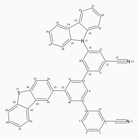 N#Cc1cccc(-c2cc(-c3cc(C#N)cc(-n4c5ccccc5c5ccccc54)c3)cc(-c3ccc4sc5ccccc5c4c3)c2)c1